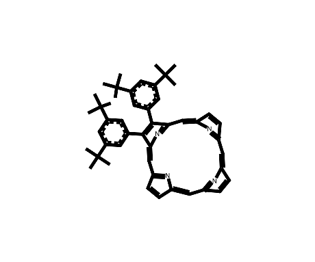 CC(C)(C)c1cc(C2=C(c3cc(C(C)(C)C)cc(C(C)(C)C)c3)C3=NC2=CC2=NC(=CC4=NC(=CC5=NC(=C3)C=C5)C=C4)C=C2)cc(C(C)(C)C)c1